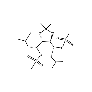 CC(C)C[C@@H](OS(C)(=O)=O)[C@@H]1OC(C)(C)O[C@H]1[C@@H](CC(C)C)OS(C)(=O)=O